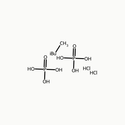 CCC(C)C.Cl.Cl.O=P(O)(O)O.O=P(O)(O)O